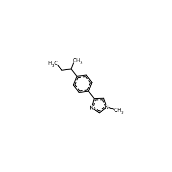 CCC(C)c1ccc(-c2cn(C)cn2)cc1